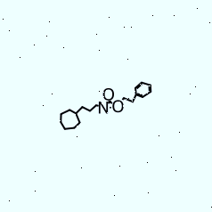 O=C([N]CCCC1CCCCCC1)OCCc1ccccc1